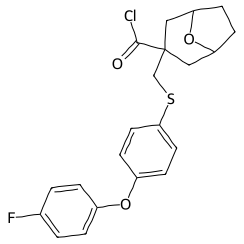 O=C(Cl)C1(CSc2ccc(Oc3ccc(F)cc3)cc2)CC2CCC(C1)O2